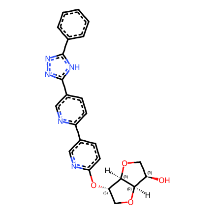 O[C@@H]1CO[C@H]2[C@@H]1OC[C@@H]2Oc1ccc(-c2ccc(-c3nnc(-c4ccccc4)[nH]3)cn2)cn1